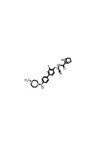 CN1CCCN([S+]([O-])c2ccc(-c3ccc(C[C@@H](C#N)NC(=O)C4NC5CCC4C5)c(F)c3)cc2)CC1